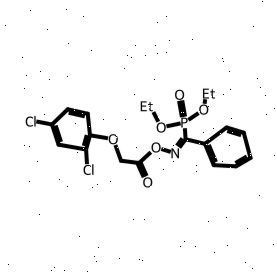 CCOP(=O)(OCC)C(=NOC(=O)COc1ccc(Cl)cc1Cl)c1ccccc1